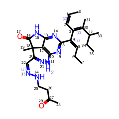 C\C=C/C(C(=C/CC)/c1nc(N)c2c(n1)NC(=O)C2(C)C(=N)/C=N\NCCC(C)=O)=C(\C)C(C)CC